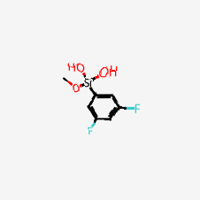 CO[Si](O)(O)c1cc(F)cc(F)c1